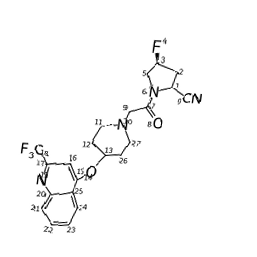 N#CC1C[C@H](F)CN1C(=O)CN1CCC(Oc2cc(C(F)(F)F)nc3ccccc23)CC1